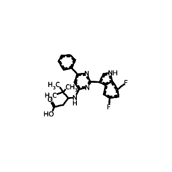 CC(C)(C)C(CC(=O)O)Nc1cc(-c2ccccc2)nc(-c2c[nH]c3c(F)cc(F)cc23)n1